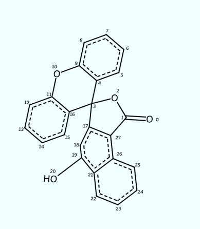 O=C1OC2(c3ccccc3Oc3ccccc32)c2cc(O)c3ccccc3c21